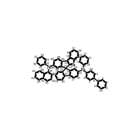 c1ccc(-c2ccc(N(c3ccccc3)c3ccc4c(c3)C3(c5ccccc5-4)c4cc(N(c5ccccc5)c5cccc6ccccc56)ccc4-c4c3sc3ccccc43)cc2)cc1